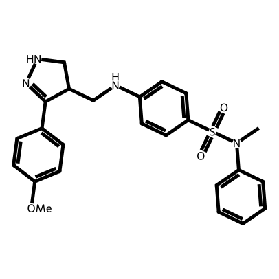 COc1ccc(C2=NNCC2CNc2ccc(S(=O)(=O)N(C)c3ccccc3)cc2)cc1